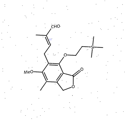 COc1c(C)c2c(c(OCC[Si](C)(C)C)c1C/C=C(\C)C=O)C(=O)OC2